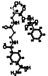 CC[C@@H](CNC(=O)CCNC(=O)c1ccc(C(=N)N)cc1)C(=O)ONS(=O)(=O)c1ccccc1